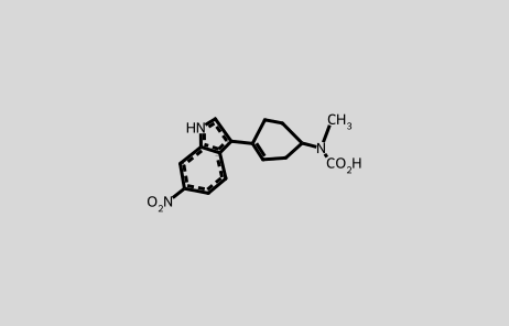 CN(C(=O)O)C1CC=C(c2c[nH]c3cc([N+](=O)[O-])ccc23)CC1